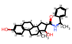 CC(NC(=O)C1CC2C3CCc4cc(O)ccc4C3CCC2(C)C1O)c1ccccc1